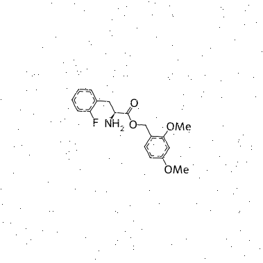 COc1ccc(COC(=O)[C@@H](N)Cc2ccccc2F)c(OC)c1